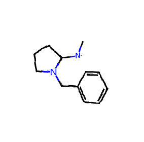 C[N]C1CCCN1Cc1ccccc1